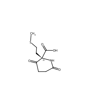 CSCC[C@@]1(C(=O)O)NC(=O)CCC1=O